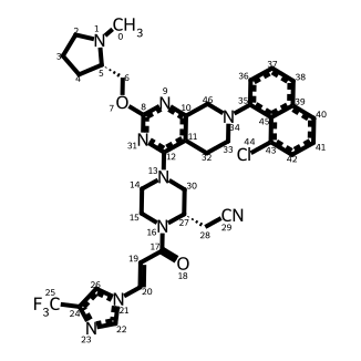 CN1CCC[C@H]1COc1nc2c(c(N3CCN(C(=O)/C=C/n4cnc(C(F)(F)F)c4)[C@@H](CC#N)C3)n1)CCN(c1cccc3cccc(Cl)c13)C2